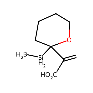 B[SiH2]C1(C(=C)C(=O)O)CCCCO1